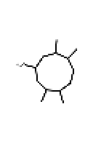 CC1CCC(C)C(C)CC(P)CC1C